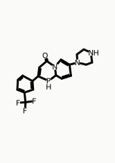 O=C1C=C(c2cccc(C(F)(F)F)c2)PC2C=CC(N3CCNCC3)=CN12